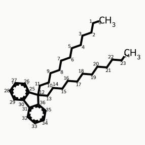 CCCCCCCCCCCCC1(CCCCCCCCCCCC)c2[c][c]ccc2-c2cc[c]cc21